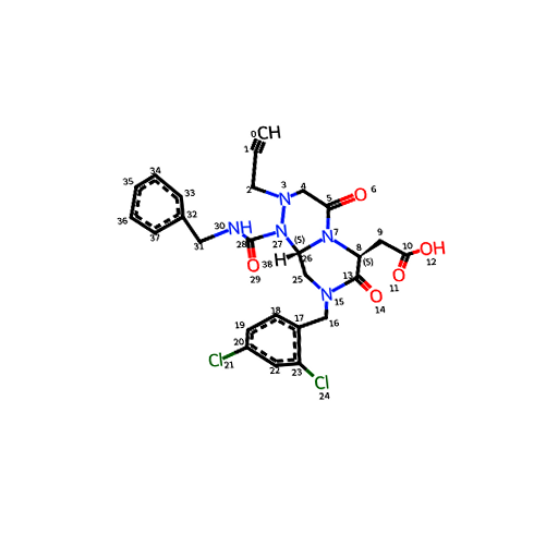 C#CCN1CC(=O)N2[C@@H](CC(=O)O)C(=O)N(Cc3ccc(Cl)cc3Cl)C[C@@H]2N1C(=O)NCc1ccccc1